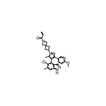 C=CC(=O)N1CC2(CC(n3nc(-c4ccc(OC)nc4)c(-c4c(Cl)c(C)cc5[nH]ncc45)c3C)C2)C1